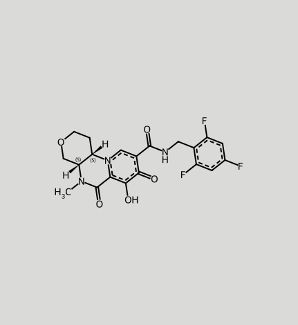 CN1C(=O)c2c(O)c(=O)c(C(=O)NCc3c(F)cc(F)cc3F)cn2[C@H]2CCOC[C@H]21